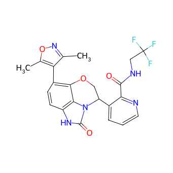 Cc1noc(C)c1-c1ccc2[nH]c(=O)n3c2c1OCC3c1cccnc1C(=O)NCC(F)(F)F